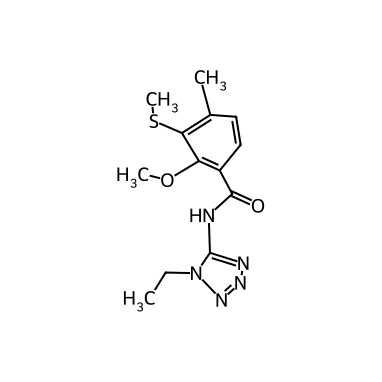 CCn1nnnc1NC(=O)c1ccc(C)c(SC)c1OC